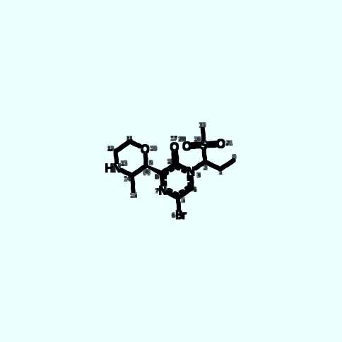 CCC(n1cc(Br)nc([C@@H]2OCCNC2C)c1=O)S(C)(=O)=O